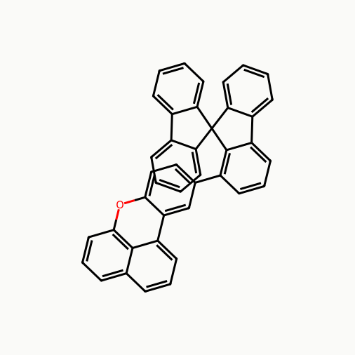 c1ccc2c(c1)-c1ccccc1C21c2ccccc2-c2cccc(-c3ccc4c(c3)-c3cccc5cccc(c35)O4)c21